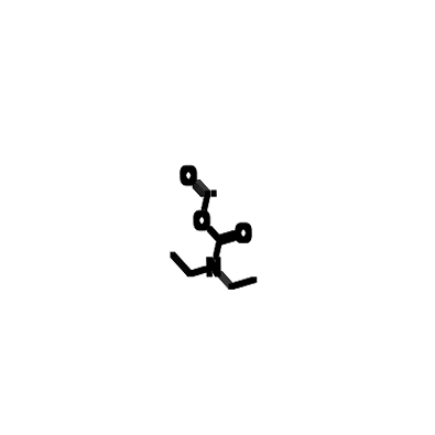 CCN(CC)C(=O)O[C]=O